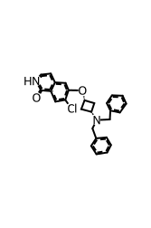 O=c1[nH]ccc2cc(O[C@H]3C[C@@H](N(Cc4ccccc4)Cc4ccccc4)C3)c(Cl)cc12